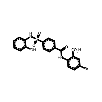 O=C(Nc1ccc(Br)cc1C(=O)O)c1ccc(S(=O)(=O)Nc2ccccc2O)cc1